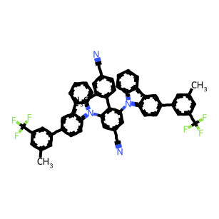 Cc1cc(-c2ccc3c(c2)c2ccccc2n3-c2cc(C#N)cc(-n3c4ccccc4c4cc(-c5cc(C)cc(C(F)(F)F)c5)ccc43)c2-c2ccc(C#N)cc2C)cc(C(F)(F)F)c1